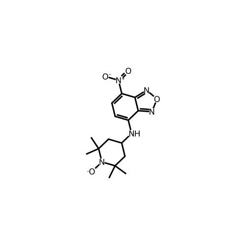 CC1(C)CC(Nc2ccc([N+](=O)[O-])c3nonc23)CC(C)(C)N1[O]